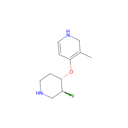 CC1=C(O[C@H]2CCNC[C@@H]2F)C=CNC1